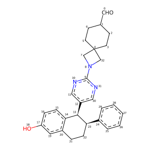 O=CC1CCC2(CC1)CN(c1ncc([C@@H]3c4ccc(O)cc4CC[C@@H]3c3ccccc3)cn1)C2